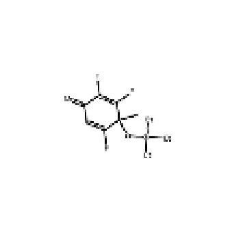 CC[Si](CC)(CC)OC1(C)C(F)=CC(=O)C(F)=C1F